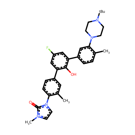 Cc1ccc(-c2cc(F)cc(-c3ccc(-n4ccn(C)c4=O)c(C)c3)c2O)cc1N1CCN(C(C)(C)C)CC1